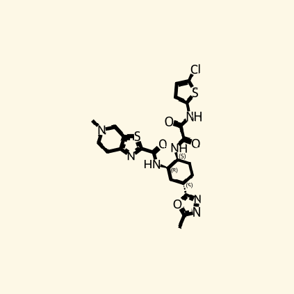 Cc1nnc([C@H]2CC[C@H](NC(=O)C(=O)NC3CC=C(Cl)S3)[C@H](NC(=O)c3nc4c(s3)CN(C)CC4)C2)o1